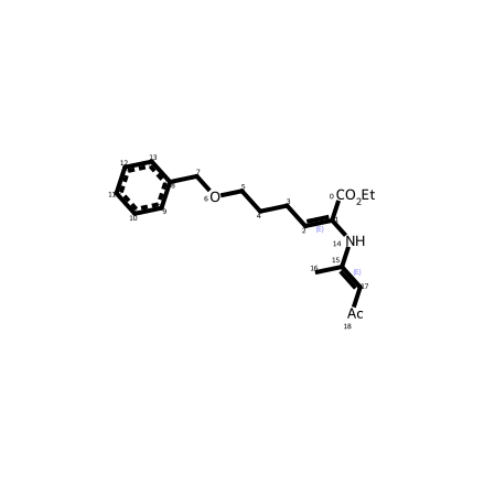 CCOC(=O)/C(=C\CCCOCc1ccccc1)N/C(C)=C/C(C)=O